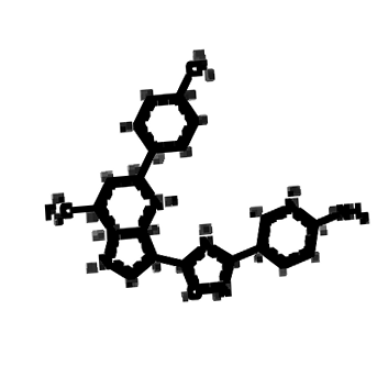 Nc1ccc(-c2noc(-c3cnn4c(C(F)(F)F)cc(-c5ccc(C(F)(F)F)cc5)nc34)n2)cn1